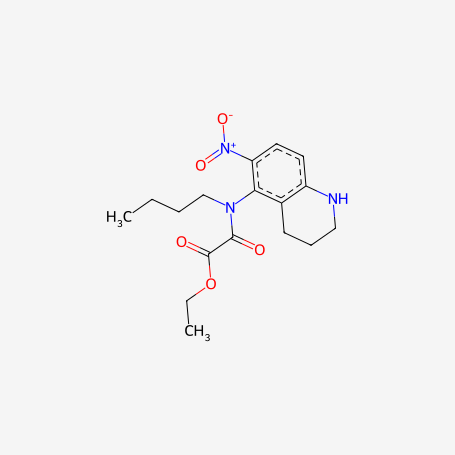 CCCCN(C(=O)C(=O)OCC)c1c([N+](=O)[O-])ccc2c1CCCN2